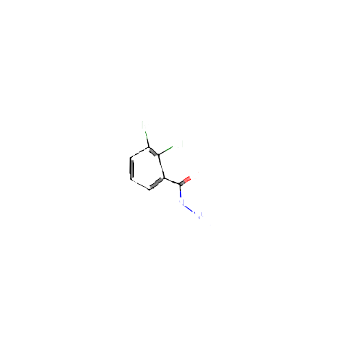 NNC(=O)c1cccc(Br)c1Cl